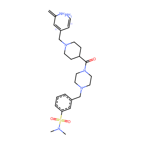 C=C(N)/C=C(\C=C/N)CN1CCC(C(=O)N2CCN(Cc3cccc(S(=O)(=O)N(C)C)c3)CC2)CC1